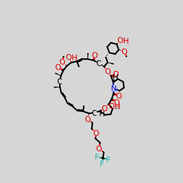 CO[C@@H]1C[C@H](C[C@@H](C)[C@@H]2CC(=O)[C@H](C)/C=C(\C)[C@@H](O)[C@@H](OC)C(=O)[C@H](C)C[C@H](C)/C=C/C=C/C=C(\C)[C@@H](OCCOCCOCC(F)(F)F)C[C@@H]3CC[C@@H](C)[C@@](O)(O3)C(=O)C(=O)N3CCCC[C@H]3C(=O)O2)CC[C@H]1O